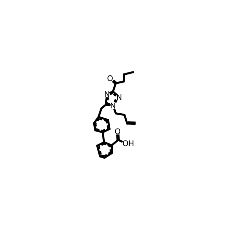 C=CCCn1nc(C(=O)CCC)nc1Cc1ccc(-c2ccccc2C(=O)O)cc1